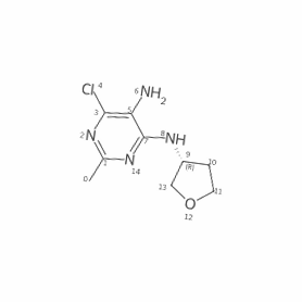 Cc1nc(Cl)c(N)c(N[C@@H]2CCOC2)n1